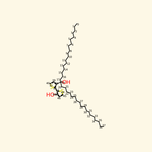 CCCCCCCCCCCCCCCCCCC(O)(CCCCCCCCCCCCCCCCCC)c1ccsc1-c1sccc1O